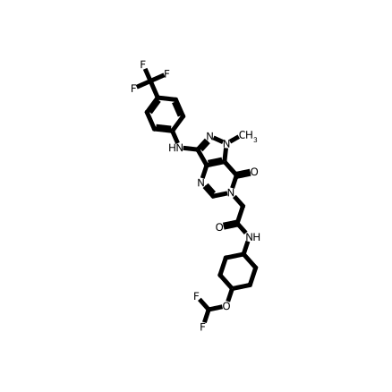 Cn1nc(Nc2ccc(C(F)(F)F)cc2)c2ncn(CC(=O)NC3CCC(OC(F)F)CC3)c(=O)c21